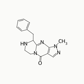 Cn1ncc2c(=O)n3c(nc21)C(Cc1ccccc1)NCC3